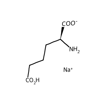 N[C@@H](CCCC(=O)O)C(=O)[O-].[Na+]